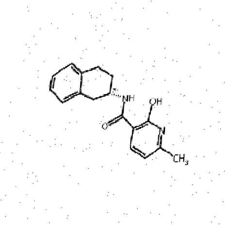 Cc1ccc(C(=O)N[C@H]2CCc3ccccc3C2)c(O)n1